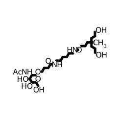 CC(=O)NC1C(OCCCC(=O)NCCCCCCNOCCCC(C)(CCCO)CCCO)OC(CO)C(O)C1O